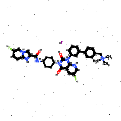 C[N+](C)(C)Cc1ccc(-c2cccc(-n3c(=O)n([C@H]4CC[C@@H](NC(=O)c5cn6cc(F)ccc6n5)CC4)c(=O)c4cc(F)cnc43)c2)cc1.[I-]